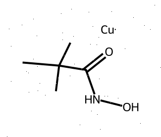 CC(C)(C)C(=O)NO.[Cu]